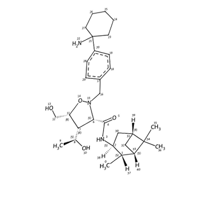 C[C@@H]1[C@@H](NC(=O)[C@@H]2[C@H]([C@H](C)O)[C@H](CO)ON2Cc2ccc(C3(N)CCCCC3)cc2)C[C@H]2C[C@@H]1C2(C)C